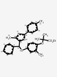 CCOC(=O)C(C)(C)Oc1ccc(OC(c2ccccc2)c2sc(-c3ccc(C(F)(F)F)cc3)nc2C)cc1C